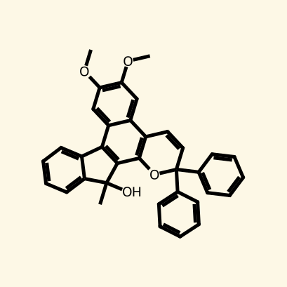 COc1cc2c3c(c4c(c2cc1OC)-c1ccccc1C4(C)O)OC(c1ccccc1)(c1ccccc1)C=C3